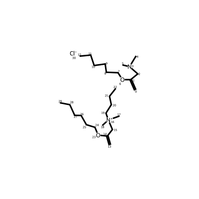 C=C(CN(C)C)OCCCCCC.C=C(C[N+](C)(C)CCCC)OCCCCCC.[Cl-]